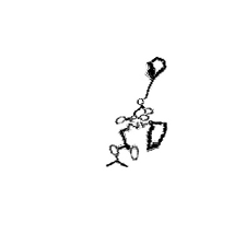 CC(C)OC(=O)CNP(=O)(CC(=O)OCc1ccccc1)Oc1ccccc1